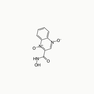 O=C(NO)c1c[n+]([O-])c2ccccc2[n+]1[O-]